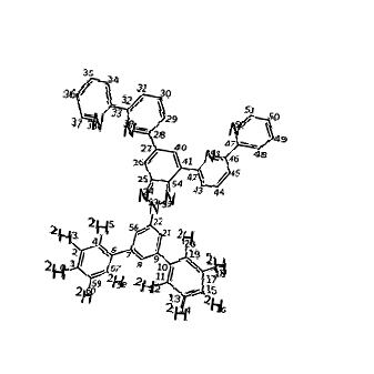 [2H]c1c([2H])c([2H])c(-c2cc(-c3c([2H])c([2H])c([2H])c([2H])c3[2H])cc(-n3nc4cc(-c5cccc(-c6ccccn6)n5)cc(-c5cccc(-c6ccccn6)n5)c4n3)c2)c([2H])c1[2H]